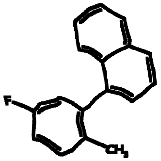 Cc1ccc(F)cc1-c1cccc2ccccc12